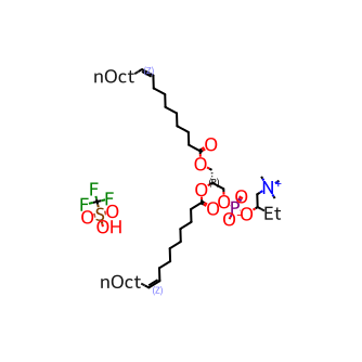 CCCCCCCC/C=C\CCCCCCCC(=O)OC[C@H](COP(=O)([O-])OC(CC)C[N+](C)(C)C)OC(=O)CCCCCCC/C=C\CCCCCCCC.O=S(=O)(O)C(F)(F)F